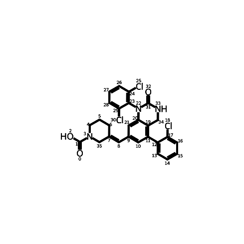 O=C(O)N1CCCC(=Cc2cc(-c3ccccc3Cl)c3c(c2)N(c2c(Cl)cccc2Cl)C(=O)NC3)C1